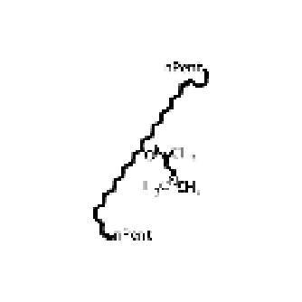 CCCCC/C=C\C/C=C\CCCCCCCCC(CCCCCCCC/C=C\C/C=C\CCCCC)ON=C(C)CCN(C)C